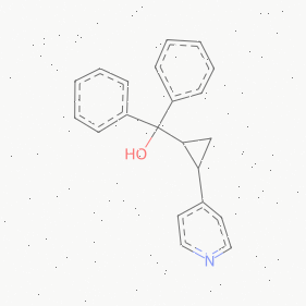 OC(c1ccccc1)(c1ccccc1)C1CC1c1ccncc1